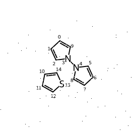 c1ccn(-n2cccc2)c1.c1ccsc1